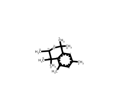 Cc1cc(C)c2c(c1)C(C)(C)OC(C)C2(C)C